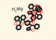 O=C1OC2(c3ccccc3Oc3ccccc32)c2cccc([B-](c3cccc4c3C(=O)OC43c4ccccc4Oc4ccccc43)(c3cccc4c3C(=O)OC43c4ccccc4Oc4ccccc43)c3cccc4c3C(=O)OC43c4ccccc4Oc4ccccc43)c21.[MgH2]